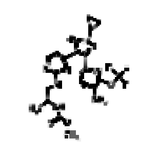 COC(=O)N[C@@H](C)CNc1nccc(-c2[nH]c(C3CC3)nc2-c2cnc(N)c(OC(F)(F)F)n2)n1